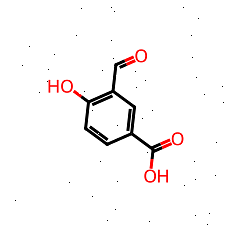 O=Cc1cc(C(=O)O)ccc1O